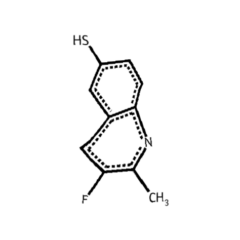 Cc1nc2ccc(S)cc2cc1F